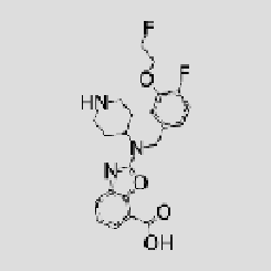 O=C(O)c1cccc2nc(N(Cc3ccc(F)c(OCCF)c3)C3CCNCC3)oc12